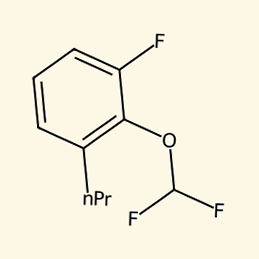 [CH2]CCc1cccc(F)c1OC(F)F